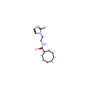 Cc1nccn1CCNC(=O)C1CCCCCCC1